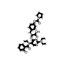 CCN(CC)c1ncc(N(CC)C(=O)c2ccccc2Cl)c(O[C@@H](Cc2ccc(OC(=O)N3CCCC3)cc2)C(=O)O)n1